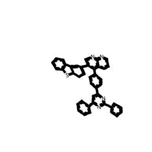 C1=C(c2cnc3ncccc3c2-c2ccc(-c3cc(-c4ccccc4)nc(-c4ccccc4)n3)cc2)C=C2c3ccccc3SC2C1